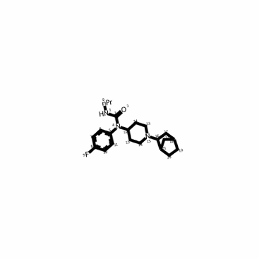 CCCNC(=O)N(c1ccc(F)cc1)C1CCN(C2CC3CCC2C3)CC1